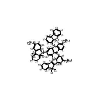 CC(C)(C)c1ccc2c(c1)N(c1cccc3c1oc1ccccc13)c1cc(N3c4ccc(C(C)(C)C)cc4C4(C)CCCCC34C)cc3c1B2c1cc(C(C)(C)C)cc2c4c(n-3c12)-c1ccccc1C4(C)C